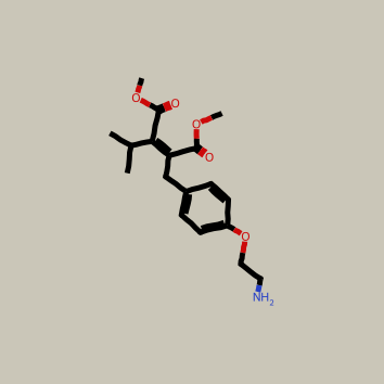 COC(=O)/C(Cc1ccc(OCCN)cc1)=C(\C(=O)OC)C(C)C